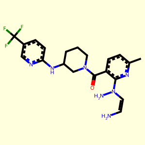 Cc1ccc(C(=O)N2CCCC(Nc3ccc(C(F)(F)F)cn3)C2)c(N(N)/C=C\N)n1